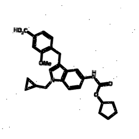 COc1cc(C(=O)O)ccc1Cc1cn(CC2CC2)c2ccc(NC(=O)OC3CCCC3)cc12